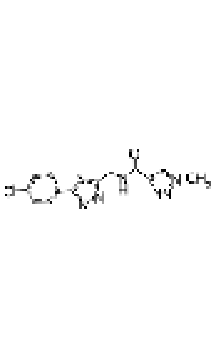 Cn1cc(C(=O)NCc2nnc(-c3ccc(Cl)cc3)s2)nn1